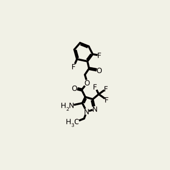 CCn1nc(C(F)(F)F)c(C(=O)OCC(=O)c2c(F)cccc2F)c1N